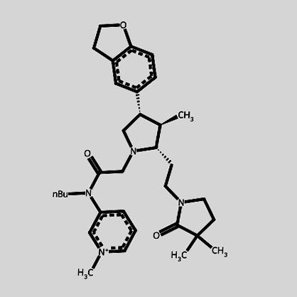 CCCCN(C(=O)CN1C[C@H](c2ccc3c(c2)CCO3)[C@@H](C)[C@@H]1CCN1CCC(C)(C)C1=O)c1ccc[n+](C)c1